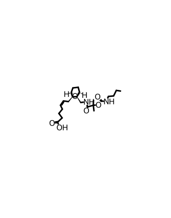 CCCCNC(=O)OC(C)(C)C(=O)NC[C@H]1[C@@H](C/C=C\CCCC(=O)O)[C@H]2CC[C@@H]1O2